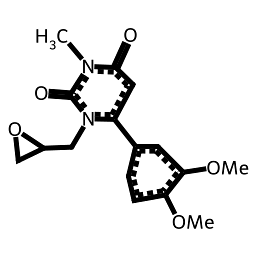 COc1ccc(-c2cc(=O)n(C)c(=O)n2CC2CO2)cc1OC